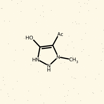 CC(=O)C1=C(O)NNN1C